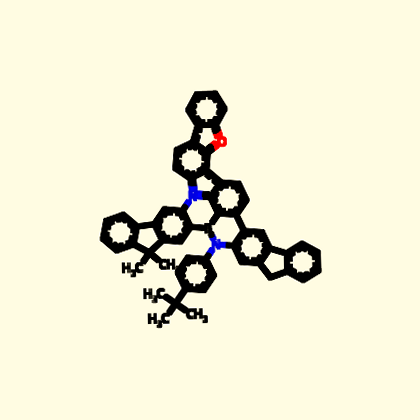 CC(C)(C)c1ccc(N2B3c4cc5c(cc4-n4c6ccc7c8ccccc8oc7c6c6ccc(c3c64)-c3cc4c(cc32)Cc2ccccc2-4)-c2ccccc2C5(C)C)cc1